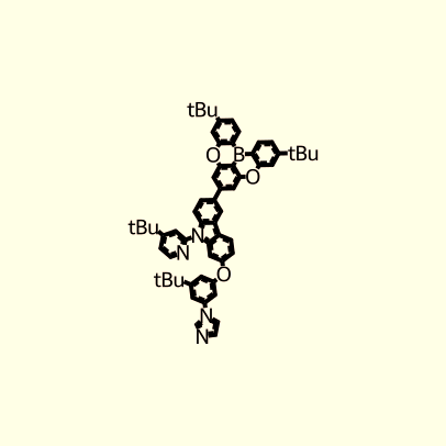 CC(C)(C)c1cc(Oc2ccc3c4cc(-c5cc6c7c(c5)Oc5cc(C(C)(C)C)ccc5B7c5ccc(C(C)(C)C)cc5O6)ccc4n(-c4cc(C(C)(C)C)ccn4)c3c2)cc(-n2ccnc2)c1